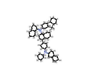 CC1(C)c2ccccc2-c2ccc(N(c3cccc4ccccc34)c3ccc(-c4ccc(N(c5ccccc5)c5ccc6ccccc6c5)cc4)c4ccccc34)cc21